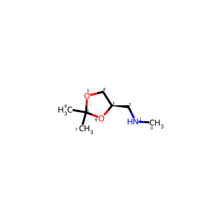 CNC[C@@H]1COC(C)(C)O1